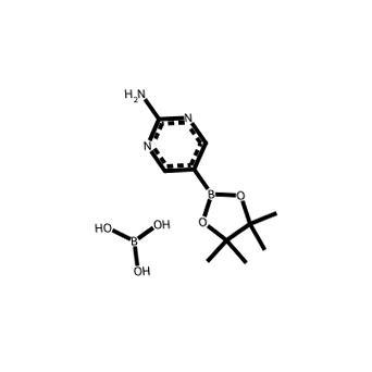 CC1(C)OB(c2cnc(N)nc2)OC1(C)C.OB(O)O